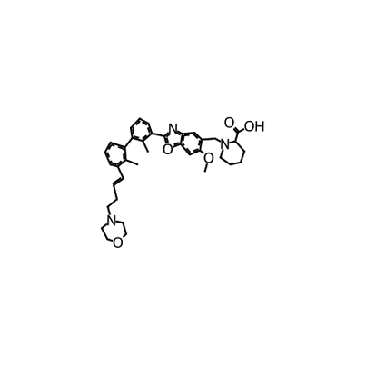 COc1cc2oc(-c3cccc(-c4cccc(/C=C/CCN5CCOCC5)c4C)c3C)nc2cc1CN1CCCCC1C(=O)O